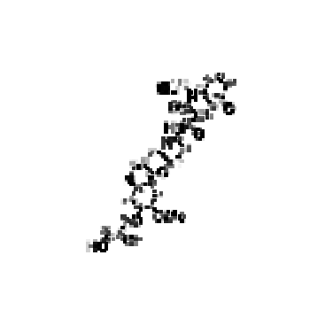 COc1cc2c(Oc3ccc(NC(=O)c4cc5c(n(CC(C)(C)C)c4=O)CCCC5=O)nc3)ccnc2cc1OC[C@@H](O)CO